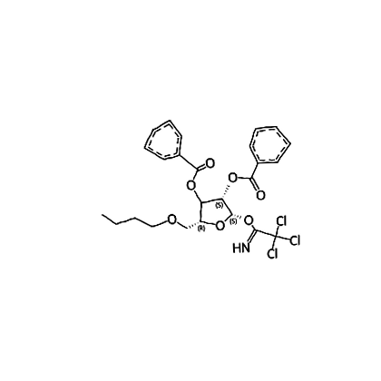 CCCCOC[C@H]1O[C@@H](OC(=N)C(Cl)(Cl)Cl)[C@@H](OC(=O)c2ccccc2)C1OC(=O)c1ccccc1